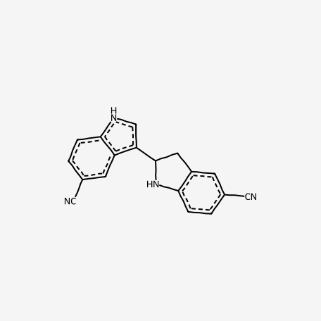 N#Cc1ccc2c(c1)CC(c1c[nH]c3ccc(C#N)cc13)N2